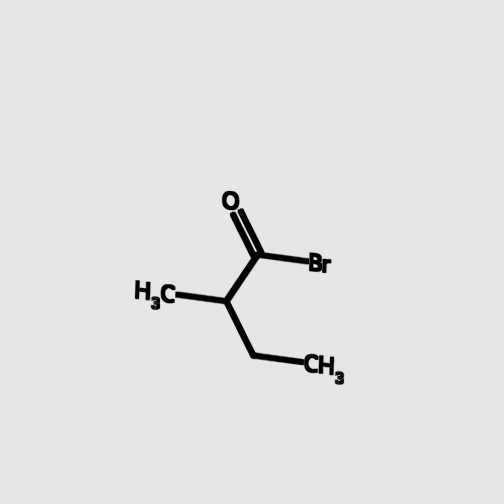 CCC(C)C(=O)Br